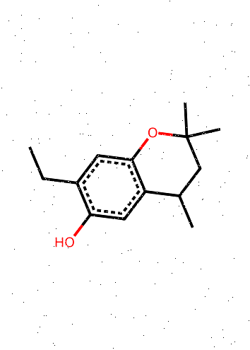 CCc1cc2c(cc1O)C(C)CC(C)(C)O2